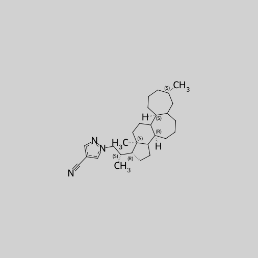 C[C@H]1CCC[C@H]2C(CCC[C@@H]3C2CC[C@@]2(C)C3CC[C@@H]2[C@H](C)Cn2cc(C#N)cn2)C1